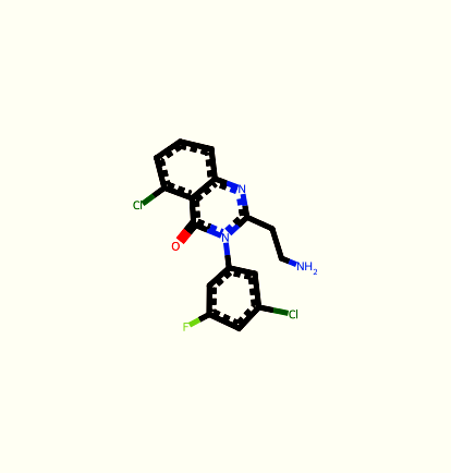 NCCc1nc2cccc(Cl)c2c(=O)n1-c1cc(F)cc(Cl)c1